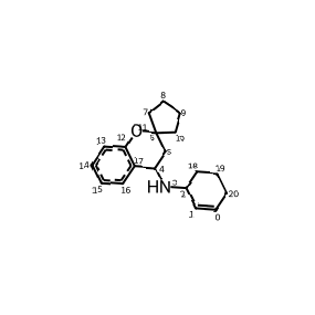 C1=CC(NC2CC3(CCCC3)Oc3ccccc32)CCC1